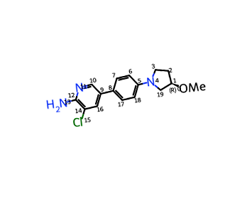 CO[C@@H]1CCN(c2ccc(-c3cnc(N)c(Cl)c3)cc2)C1